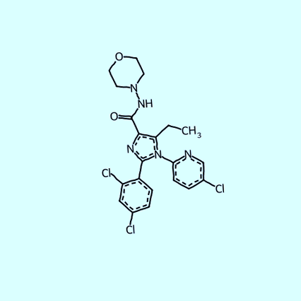 CCc1c(C(=O)NN2CCOCC2)nc(-c2ccc(Cl)cc2Cl)n1-c1ccc(Cl)cn1